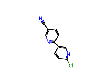 N#Cc1ccc(-c2ccc(Cl)nc2)nc1